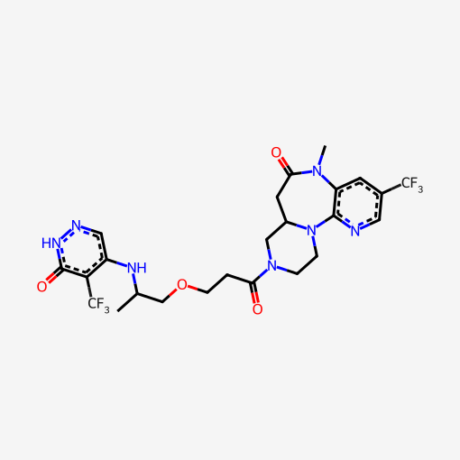 CC(COCCC(=O)N1CCN2c3ncc(C(F)(F)F)cc3N(C)C(=O)CC2C1)Nc1cn[nH]c(=O)c1C(F)(F)F